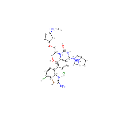 CNC1CCC(OC[C@H]2COc3c(-c4ccc(F)c5sc(N)nc45)c(Cl)cc4c(N5CC6CCC(C5)N6)nc(=O)n2c34)C1